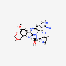 COC1=C2OCOCC2CC(C(Nc2ccc3c(c2)CNC3=N)c2nn(-c3ncccc3N)c(=O)[nH]2)=C1